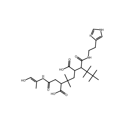 C/C(=C\O)NC(=O)CC(C(=O)O)C(C)(C)CC(C(=O)O)C(C(=O)NCCc1c[nH]cn1)C(C)(C)C(C)(C)C